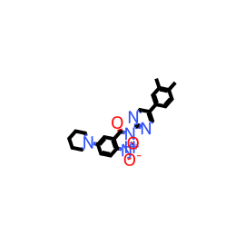 Cc1ccc(-c2cnc(NC(=O)c3cc(N4CCCCC4)ccc3[N+](=O)[O-])nc2)cc1C